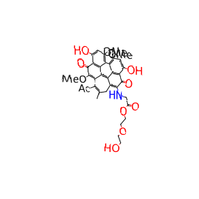 COc1c2c3c4c(c(NCC(=O)OCCOCCO)c(=O)c5c(O)cc(OC)c(c6c(OC)cc(O)c(c1=O)c63)c54)CC(C)=C2C(C)=O